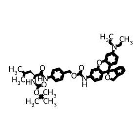 CCN(CC)c1ccc2c(c1)Oc1cc(NC(=O)OCc3ccc(NC(=O)[C@H](CC(C)C)NC(=O)OC(C)(C)C)cc3)ccc1C21OCc2ccccc21